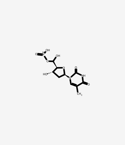 Cc1cn([C@H]2C[C@H](O)[C@@H](C(O)O[PH](=O)O)O2)c(=O)[nH]c1=O